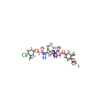 O=C(COc1ccc(Cl)c(F)c1)NC1C[C@H](O)C2(NC(=O)COc3ccc(OC(F)(F)F)c(F)c3)CCCC1C2